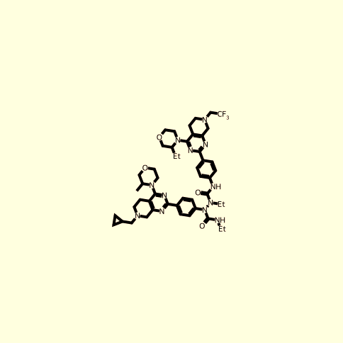 CCNC(=O)N(c1ccc(-c2nc3c(c(N4CCOCC4C)n2)CCN(CC2CC2)C3)cc1)N(CC)C(=O)Nc1ccc(-c2nc3c(c(N4CCOCC4CC)n2)CCN(CC(F)(F)F)C3)cc1